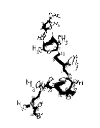 CC(=O)O[C@@H](C)/C=C\C(=O)N[C@@H]1C[C@H](C)[C@H](C/C=C(C)/C=C/[C@H]2O[C@H](CC(=O)N(C)CCN(C)C(=O)CBr)CC3(CO3)[C@@H]2O)O[C@@H]1C